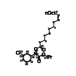 CCCCCCCC/C=C\CCCCCCCC(=O)ON(C(=O)OC(C)C)c1cccc(Cl)c1